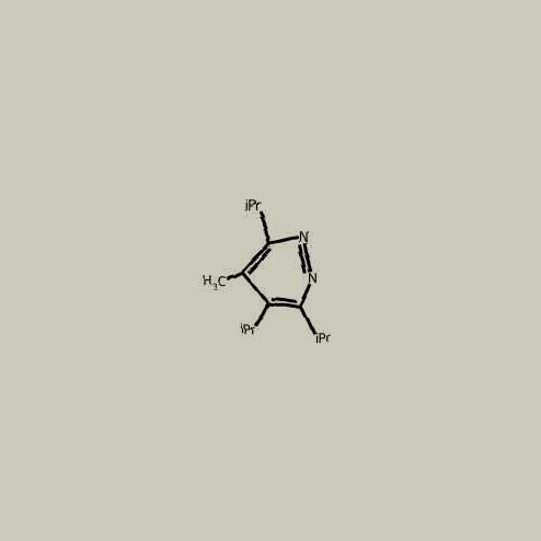 Cc1c(C(C)C)nnc(C(C)C)c1C(C)C